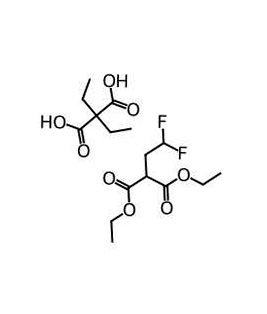 CCC(CC)(C(=O)O)C(=O)O.CCOC(=O)C(CC(F)F)C(=O)OCC